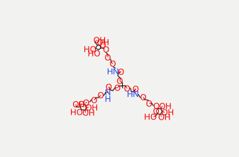 CC(COCCC(=O)NCCOCCOCCO[C@H]1OC(CO)[C@@H](O)C(O)C1O)(COCCC(=O)NCCOCCOCCO[C@H]1OC(CO)[C@H](O)C(O)C1O)COCCC(=O)NCCOCCOCCO[C@H]1O[C@]2(O)C1C(O)[C@H](O)C2CO